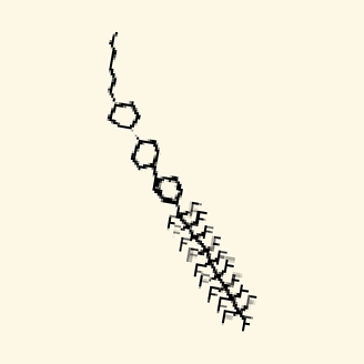 CCCCCC[C@H]1CC[C@H](C2CCC(c3ccc(C(F)(F)C(F)(F)C(F)(F)C(F)(F)C(F)(F)C(F)(F)C(F)(F)C(F)(F)C(F)(F)F)cc3)CC2)CC1